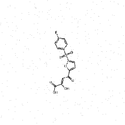 O=C(O)C(O)=CC(=O)c1ccc(S(=O)(=O)c2ccc(F)cc2)o1